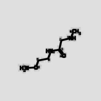 CNCC(=O)NCCON